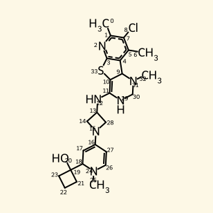 Cc1nc2c(c(C)c1Cl)C1C(=C(NC3CN(C4=CC(C5(O)CCC5)N(C)C=C4)C3)NCN1C)S2